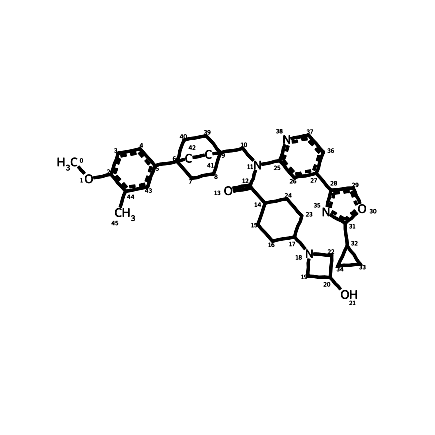 COc1ccc(C23CCC(CN(C(=O)C4CCC(N5CC(O)C5)CC4)c4cc(-c5coc(C6CC6)n5)ccn4)(CC2)CC3)cc1C